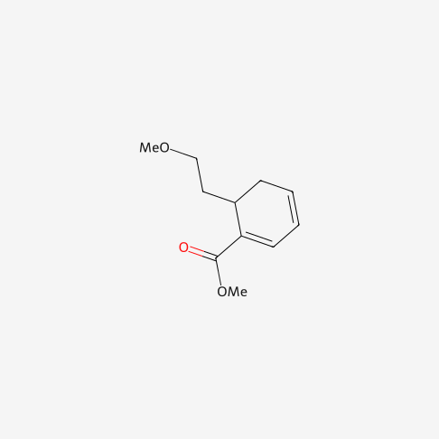 COCCC1CC=CC=C1C(=O)OC